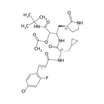 CC(=O)OC(C(=O)NC(C)(C)C)C(C[C@@H]1CCNC1=O)NC(=O)[C@H](CC1CC1)NC(=O)/C=C/c1ccc(Cl)cc1F